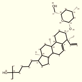 C=C[C@@]1(C)C2=CCC3C4CCC(CCCCC(C)(C)O)[C@@]4(C)CC[C@@]3(C)C2CC[C@@H]1O[C@H]1C[C@@H](C)C[C@@H](CO)O1